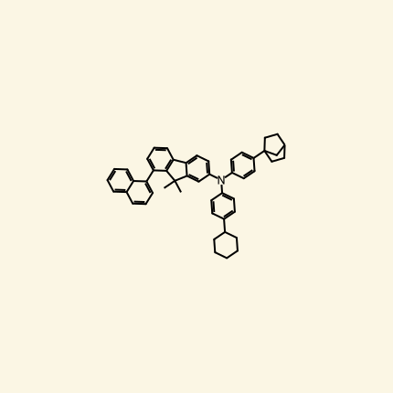 CC1(C)c2cc(N(c3ccc(C4CCCCC4)cc3)c3ccc(C45CCC(CC4)C5)cc3)ccc2-c2cccc(-c3cccc4ccccc34)c21